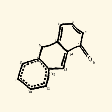 O=C1C=CC=C2Cc3ccccc3C=C12